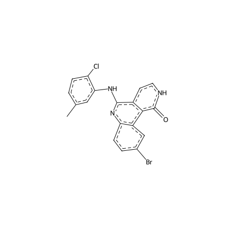 Cc1ccc(Cl)c(Nc2nc3ccc(Br)cc3c3c(=O)[nH]ccc23)c1